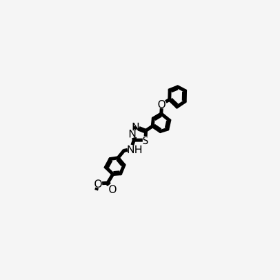 COC(=O)c1ccc(CNc2nnc(-c3cccc(Oc4ccccc4)c3)s2)cc1